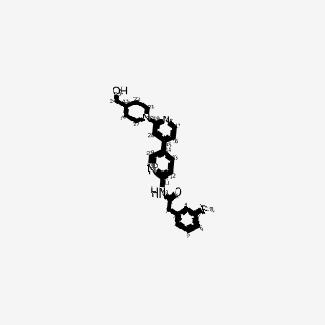 O=C(Cc1cccc(F)c1)Nc1ccc(-c2ccnc(N3CCC(CO)CC3)c2)cn1